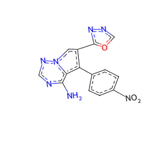 Nc1ncnn2cc(-c3nnco3)c(-c3ccc([N+](=O)[O-])cc3)c12